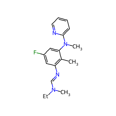 CCN(C)C=Nc1cc(F)cc(N(C)c2ccccn2)c1C